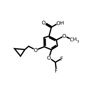 COc1cc(OC(F)F)c(OCC2CC2)cc1C(=O)O